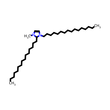 CCCCCCCCCCCCCCCCN1C=CN(C)C1CCCCCCCCCCCCCCC